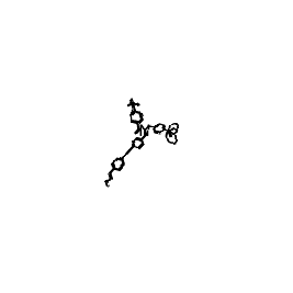 C=C(c1ccc(C(C)(C)C)cc1)N(Cc1ccc(C#Cc2ccc(CCCC)cc2)cc1)Cc1ccc(C(=O)OC)cc1